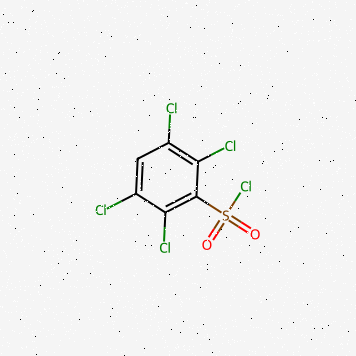 O=S(=O)(Cl)c1c(Cl)c(Cl)cc(Cl)c1Cl